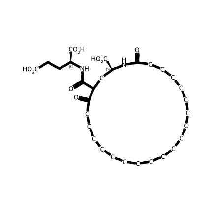 O=C(O)CC[C@H](NC(=O)C1C[C@@H](C(=O)O)NC(=O)CCCCCCCCCCCCCCCCCCC1=O)C(=O)O